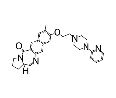 Cc1cc2cc3c(cc2cc1OCCN1CCN(c2ccccn2)CC1)N=C[C@@H]1CCCN1C3=O